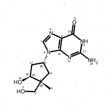 C[C@]1(CO)C[C@@H](n2cnc3c(=O)[nH]c(N)nc32)C[C@@H]1O